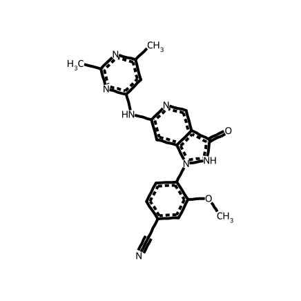 COc1cc(C#N)ccc1-n1[nH]c(=O)c2cnc(Nc3cc(C)nc(C)n3)cc21